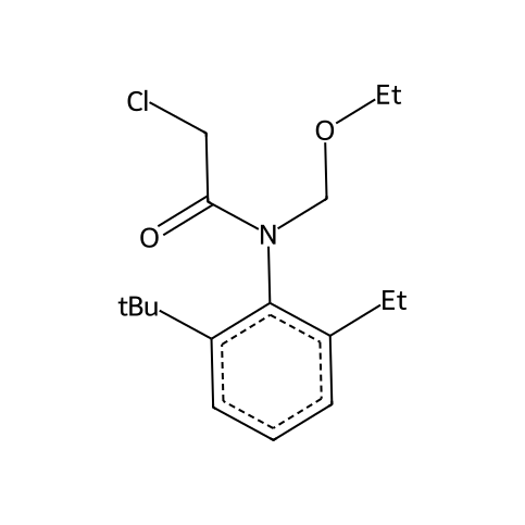 CCOCN(C(=O)CCl)c1c(CC)cccc1C(C)(C)C